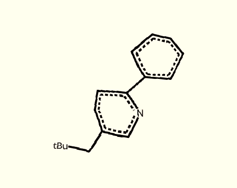 CC(C)(C)Cc1ccc(-c2ccccc2)nc1